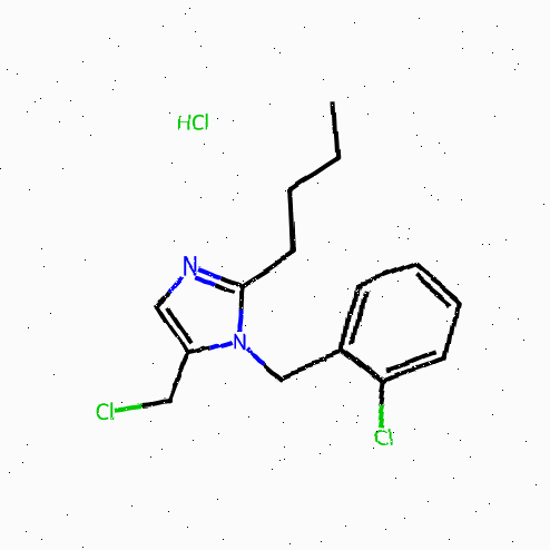 CCCCc1ncc(CCl)n1Cc1ccccc1Cl.Cl